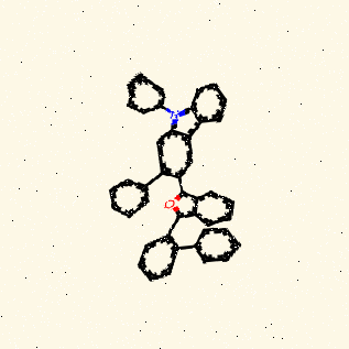 c1ccc(-c2ccccc2-c2oc(-c3cc4c5ccccc5n(-c5ccccc5)c4cc3-c3ccccc3)c3ccccc23)cc1